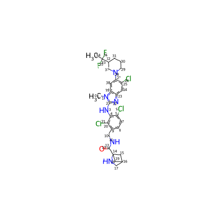 Cn1c(Nc2c(Cl)ccc(CNC(=O)C34CC(CN3)C4)c2Cl)nc2cc(Cl)c(N3CCCC(C(C)(F)F)C3)cc21